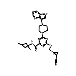 CC1CC(C)(NC(=O)c2nc(OC[C@H]3CC3C#N)nc(N3CCC(c4c[nH]c5nccnc45)CC3)n2)C1